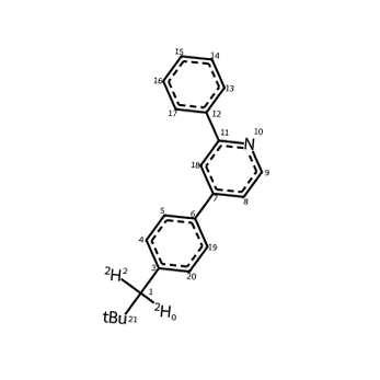 [2H]C([2H])(c1ccc(-c2ccnc(-c3ccccc3)c2)cc1)C(C)(C)C